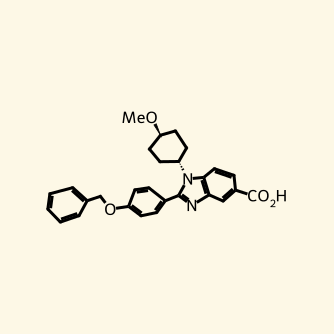 CO[C@H]1CC[C@H](n2c(-c3ccc(OCc4ccccc4)cc3)nc3cc(C(=O)O)ccc32)CC1